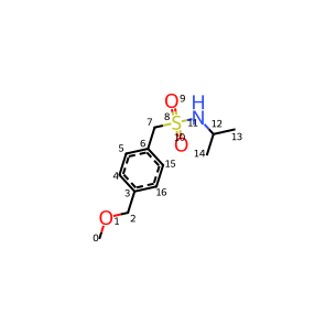 COCc1ccc(CS(=O)(=O)NC(C)C)cc1